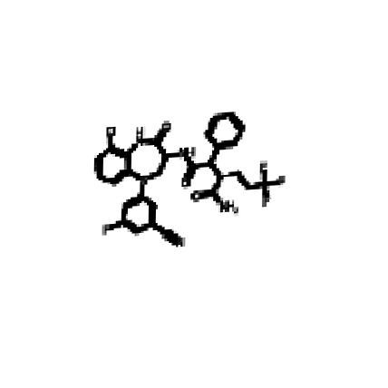 N#Cc1cc(F)cc(N2C[C@H](NC(=O)[C@@H](c3ccccc3)[C@@H](CCC(F)(F)F)C(N)=O)C(=O)Nc3c(Cl)cccc32)c1